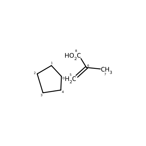 C1CCCC1.C=C(C)C(=O)O